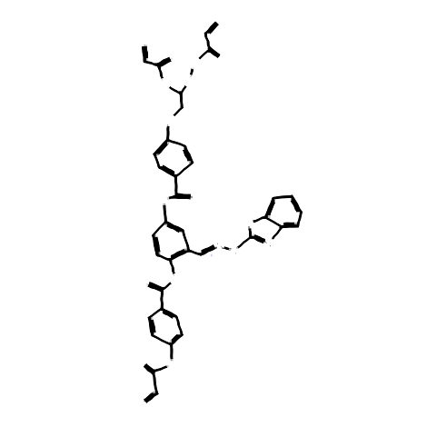 C=CC(=O)OCC(COc1ccc(C(=O)Oc2ccc(OC(=O)c3ccc(OC(=O)C=C)cc3)c(/C=N/Nc3nc4ccccc4s3)c2)cc1)OC(=O)C=C